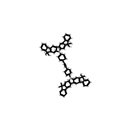 CC1(C)c2ccccc2-c2cc3c4cc5c(cc4n(-c4ccc(C#Cc6ccc(-n7c8cc9c(cc8c8cc%10c(cc87)C(C)(C)c7ccccc7-%10)-c7ccccc7C9(C)C)cc6)cc4)c3cc21)C(C)(C)c1ccccc1-5